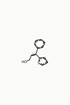 OC/C=C(/c1ccccc1)c1cccs1